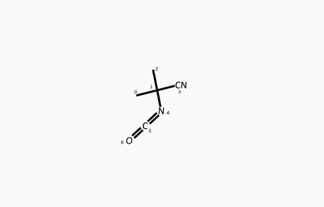 CC(C)(C#N)N=C=O